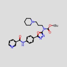 CC(C)(C)OC(=O)N(CCCN1CCCCC1)c1nnc(-c2ccc(NC(=O)c3cccnc3)cc2)o1